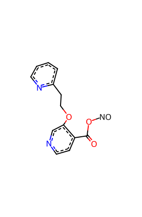 O=NOC(=O)c1ccncc1OCCc1ccccn1